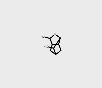 CC1C2CC3C(O)OC1C3C2